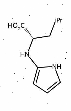 CC(C)C[C@H](Nc1ccc[nH]1)C(=O)O